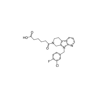 O=C(O)CCCCC(=O)N1CCc2c(n(Cc3ccc(F)c(Cl)c3)c3ncccc23)C1